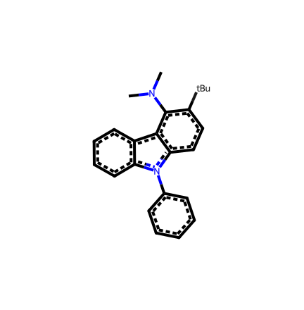 CN(C)c1c(C(C)(C)C)ccc2c1c1ccccc1n2-c1ccccc1